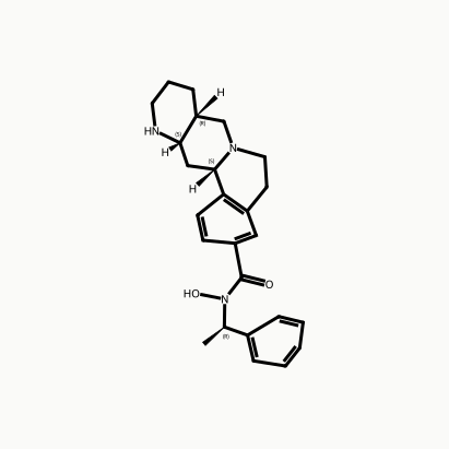 C[C@H](c1ccccc1)N(O)C(=O)c1ccc2c(c1)CCN1C[C@H]3CCCN[C@H]3C[C@@H]21